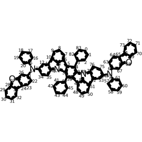 c1ccc(-c2c3c4cccc5c6cc(N(c7ccccc7)c7ccc8c(c7)oc7ccccc78)ccc6n(c3c(-c3ccccc3)c3c6cccc7c8cc(N(c9ccccc9)c9ccc%10c(c9)oc9ccccc9%10)ccc8n(c23)c76)c54)cc1